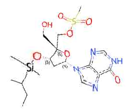 CCC(C)[Si](C)(C)O[C@H]1C[C@@H](n2cnc3c(=O)[nH]cnc32)O[C@@]1(CO)COS(C)(=O)=O